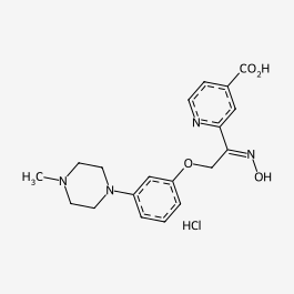 CN1CCN(c2cccc(OC/C(=N\O)c3cc(C(=O)O)ccn3)c2)CC1.Cl